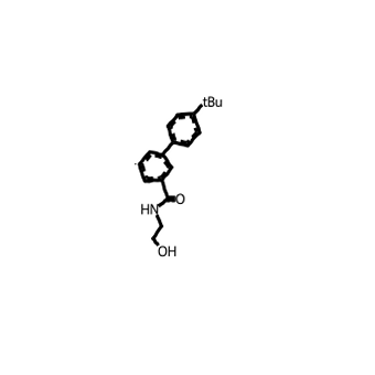 CC(C)(C)c1ccc(-c2c[c]cc(C(=O)NCCO)c2)cc1